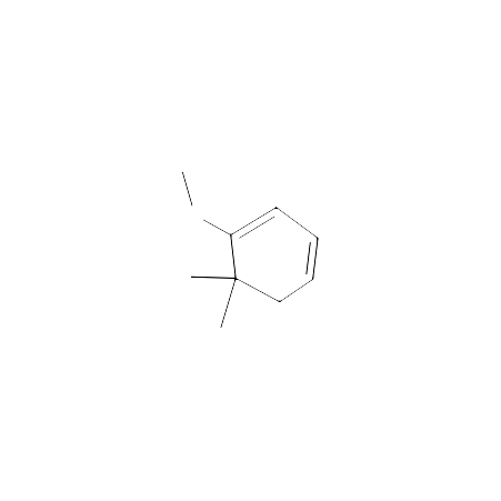 COC1=CC=CCC1(C)C